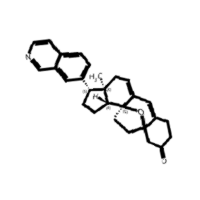 C[C@]12CC=C3C=C4CCC(=O)CC45CC[C@]3(O5)[C@@H]1CC[C@@H]2c1ccc2ccncc2c1